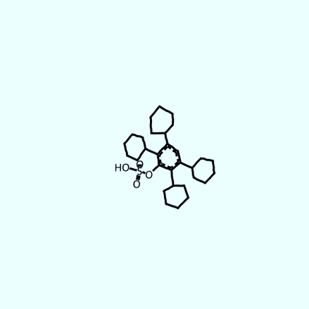 O=S(=O)(O)Oc1c(C2CCCCC2)c(C2CCCCC2)cc(C2CCCCC2)c1C1CCCCC1